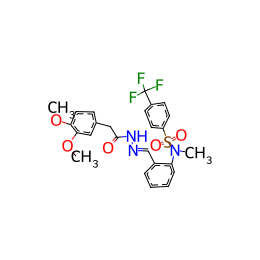 COc1ccc(CC(=O)NN=Cc2ccccc2N(C)S(=O)(=O)c2ccc(C(F)(F)F)cc2)cc1OC